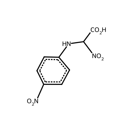 O=C(O)C(Nc1ccc([N+](=O)[O-])cc1)[N+](=O)[O-]